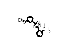 CCOc1cccc(-c2n[nH]c(-c3ccccc3C)n2)c1